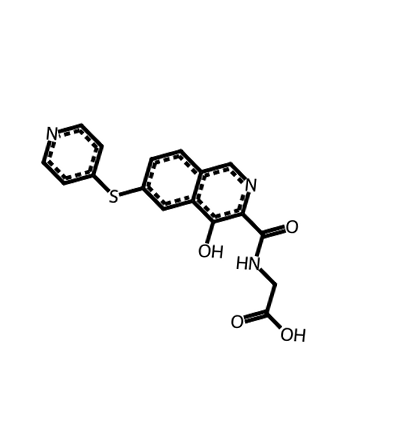 O=C(O)CNC(=O)c1ncc2ccc(Sc3ccncc3)cc2c1O